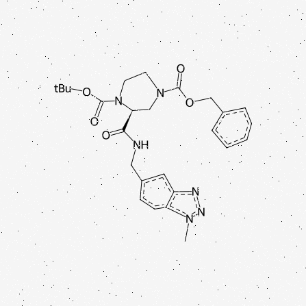 Cn1nnc2cc(CNC(=O)[C@@H]3CN(C(=O)OCc4ccccc4)CCN3C(=O)OC(C)(C)C)ccc21